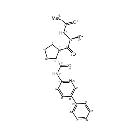 COC(=O)N[C@H](C(=O)N1CCC[C@H]1C(=O)Nc1ccc(-c2ccccc2)cn1)C(C)C